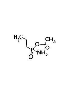 CCCP(N)(=O)OC(C)=O